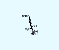 CCCCCCCCCCCCC/C=C/[C@@H](O)C(N)COP(=O)(O)O